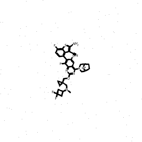 CN(CC1(COc2nc(N3CC4CCC(C3)N4)c3cc(Cl)c(-c4ccc(F)c5sc(N)c(C#N)c45)c(F)c3n2)CC1)C1CC(F)(F)C1